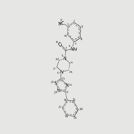 N#Cc1cccc(NC(=O)N2CCN(c3nc(-c4ccccc4)ns3)CC2)c1